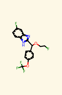 FCCOC(c1ccc(OC(F)(F)F)cc1)c1nc2cc(F)ccc2[nH]1